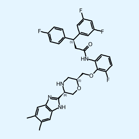 Cc1cc2nc([C@@H]3CO[C@H](COc4c(F)cccc4NC(=O)C[C@@H](c4ccc(F)cc4)c4cc(F)cc(F)c4)CN3)[nH]c2cc1C